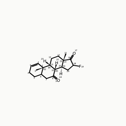 C[C@]12C=CCCC1CC(=O)[C@@H]1[C@H]2CC[C@]2(C)C(=O)C(F)C[C@@H]12